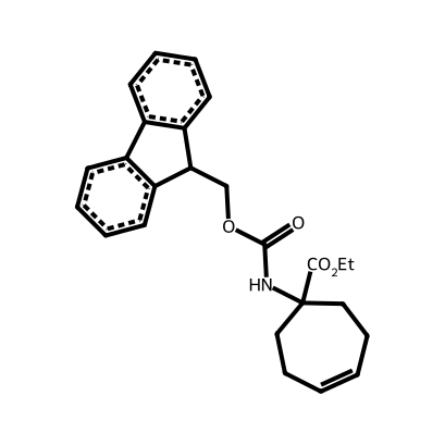 CCOC(=O)C1(NC(=O)OCC2c3ccccc3-c3ccccc32)CCC=CCC1